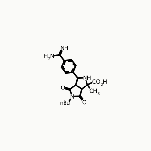 CCCCN1C(=O)C2C(c3ccc(C(=N)N)cc3)NC(C)(C(=O)O)C2C1=O